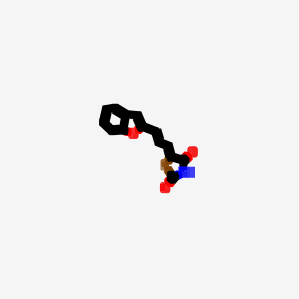 O=C1NC(=O)C(=CC=Cc2cc3ccccc3o2)S1